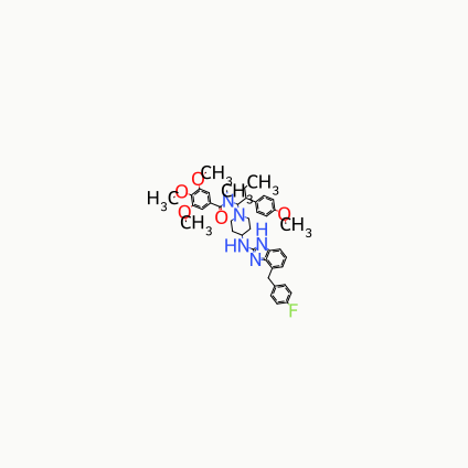 CCC(c1ccc(OC)cc1)C(N1CCC(Nc2nc3c(Cc4ccc(F)cc4)cccc3[nH]2)CC1)N(C)C(=O)c1cc(OC)c(OC)c(OC)c1